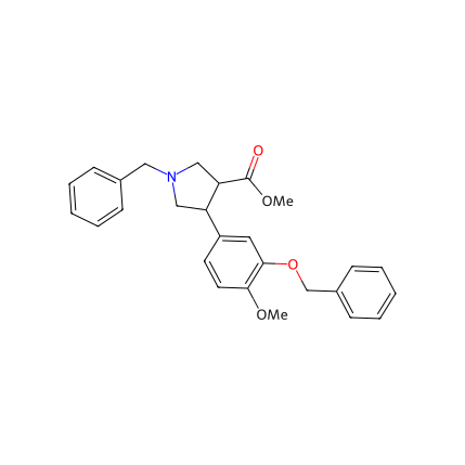 COC(=O)C1CN(Cc2ccccc2)CC1c1ccc(OC)c(OCc2ccccc2)c1